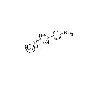 Nc1ccc(-c2cnc(O[C@@H]3CN4CCC3CC4)cn2)cc1